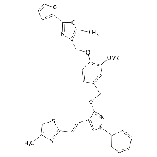 COc1cc(COc2nn(-c3ccccc3)cc2C=Cc2nc(C)cs2)ccc1OCc1nc(-c2ccco2)oc1C